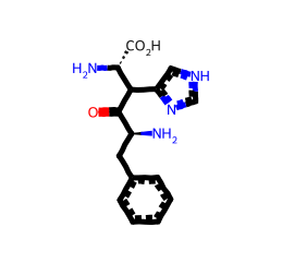 N[C@H](C(=O)O)C(C(=O)[C@@H](N)Cc1ccccc1)c1c[nH]cn1